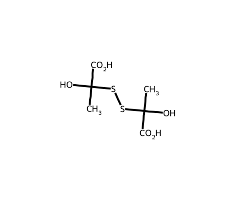 CC(O)(SSC(C)(O)C(=O)O)C(=O)O